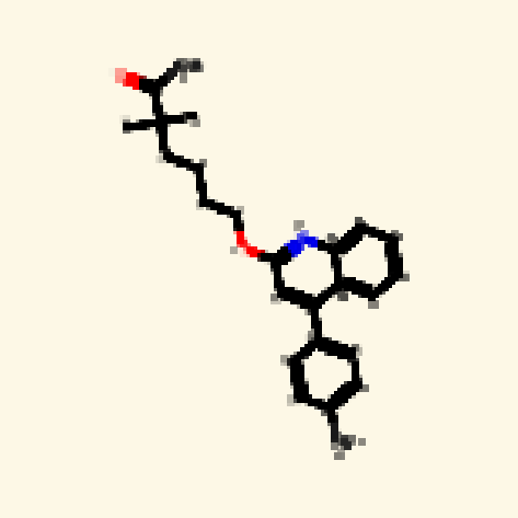 COC(=O)C(C)(C)CCCCOc1cc(-c2ccc(OC)cc2)c2ccccc2n1